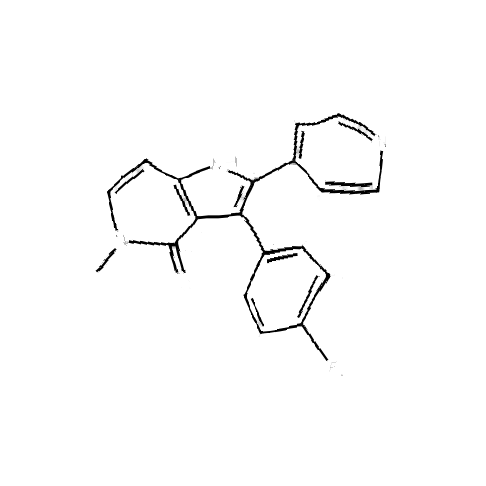 Cn1ccc2[nH]c(-c3ccncc3)c(-c3ccc(F)cc3)c2c1=O